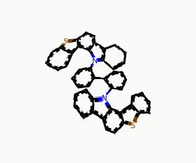 C1=Cc2c(c3ccc4sc5ccccc5c4c3n2-c2ccccc2-c2ccccc2-n2c3ccccc3c3ccc4sc5ccccc5c4c32)CC1